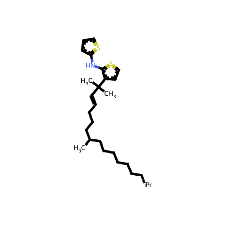 CC(C)CCCCCCCC(C)CCCC=CC(C)(C)c1ccsc1Nc1cccs1